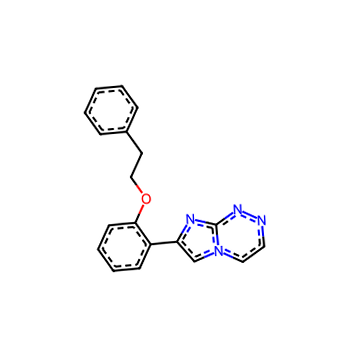 c1ccc(CCOc2ccccc2-c2cn3ccnnc3n2)cc1